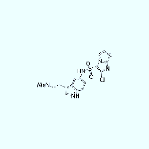 CNCCc1c[nH]c2ccc(NS(=O)(=O)c3c(Cl)nc4sccn34)cc12